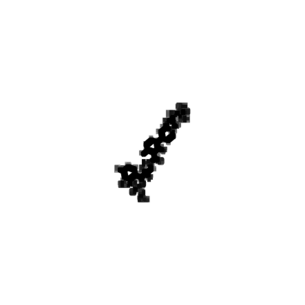 Cc1ccc(-c2ccn3nc(NP(=O)(O)O)nc3c2)c(F)c1C(=O)NCC(F)(F)C(OP(=O)(OC(C)(C)C)OC(C)(C)C)c1ccc(F)cc1